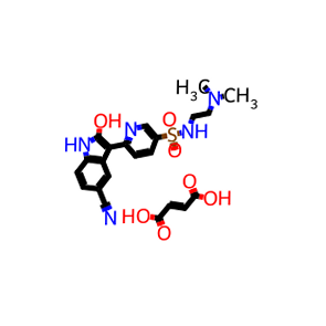 CN(C)CCNS(=O)(=O)c1ccc(-c2c(O)[nH]c3ccc(C#N)cc23)nc1.O=C(O)/C=C/C(=O)O